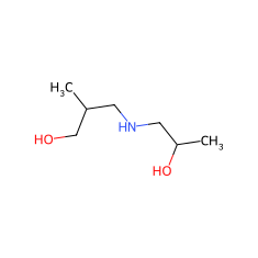 CC(O)CNCC(C)CO